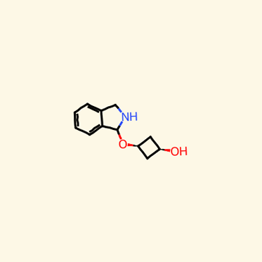 O[C@H]1C[C@@H](OC2NCc3ccccc32)C1